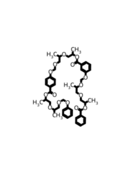 CC(COCC(C)OC(=O)c1ccccc1)OCOc1cccc(C(=O)OC(C)COC(C)COCOc2ccc(C(=O)OC(C)COC(C)COCOc3ccccc3)cc2)c1